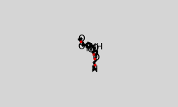 CC(=O)SCC(=O)c1ccc(NS(=O)(=O)c2ccc(OCCCCCN(C)C)cc2)nc1